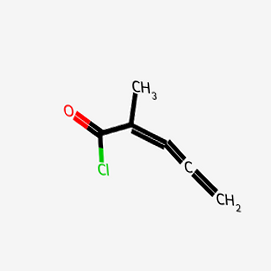 C=C=C=C(C)C(=O)Cl